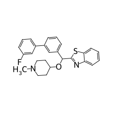 CN1CCC(OC(c2cccc(-c3cccc(F)c3)c2)c2nc3ccccc3s2)CC1